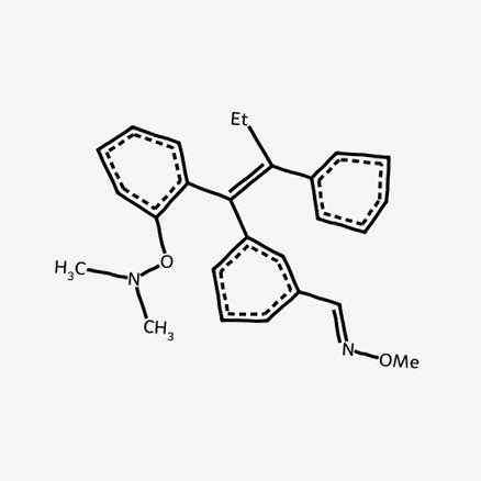 CCC(=C(c1cccc(C=NOC)c1)c1ccccc1ON(C)C)c1ccccc1